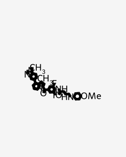 CO[C@H]1CC[C@H](NC/C=C/C(=O)Nc2c(F)cc(C(=O)c3ccc4c(-c5cc6ncn(C)c6cc5C)cccn34)cc2F)CC1